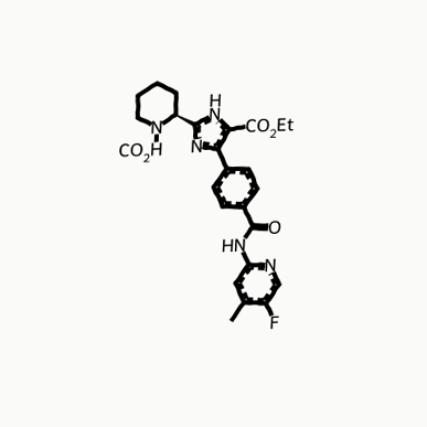 CCOC(=O)c1[nH]c([C@@H]2CCCCN2C(=O)O)nc1-c1ccc(C(=O)Nc2cc(C)c(F)cn2)cc1